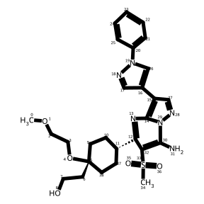 COCCO[C@]1(CCO)CC[C@H](c2nc3c(-c4cnn(-c5ccccc5)c4)cnn3c(N)c2S(C)(=O)=O)CC1